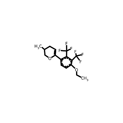 CCOc1ccc(C2=CCC(C)CO2)c(C(F)(F)F)c1C(F)(F)F